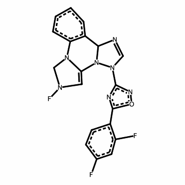 Fc1ccc(-c2nc(N3C=NC4c5ccccc5N5CN(F)C=C5N43)no2)c(F)c1